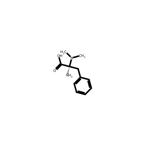 CN(C)[C@@](N)(Cc1ccccc1)C(=O)O